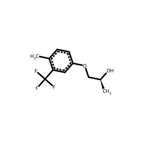 Cc1ccc(OC[C@H](C)O)cc1C(F)(F)F